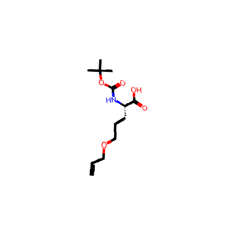 C=CCOCCC[C@H](NC(=O)OC(C)(C)C)C(=O)O